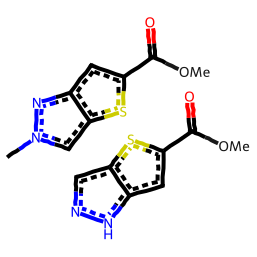 COC(=O)c1cc2[nH]ncc2s1.COC(=O)c1cc2nn(C)cc2s1